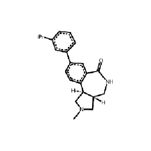 CC(C)c1cccc(-c2ccc3c(c2)C(=O)NC[C@@H]2CN(C)C[C@@H]32)c1